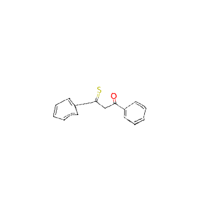 O=C(CC(=S)c1ccccc1)c1ccccc1